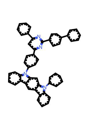 c1ccc(-c2ccc(-c3nc(-c4ccccc4)cc(-c4ccc(-n5c6ccccc6c6cc7c8ccccc8n(-c8ccccc8)c7cc65)cc4)n3)cc2)cc1